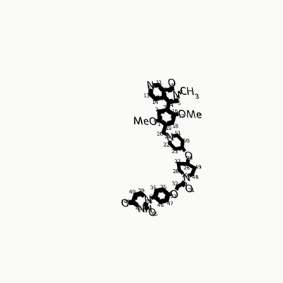 COc1cc(-c2cn(C)c(=O)c3cnccc23)c(OC)cc1CN1CCC(OC2CCN(C(=O)COc3ccc(-n4ccc(=O)[nH]c4=O)cc3)CC2)CC1